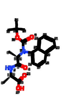 C[C@H](NC(=O)[C@H](C)N(C(=O)OC(C)(C)C)c1cccc2ccccc12)C(=O)O